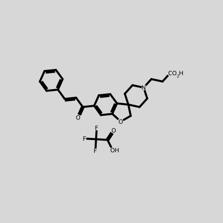 O=C(O)C(F)(F)F.O=C(O)CCN1CCC2(CC1)COc1cc(C(=O)/C=C/c3ccccc3)ccc12